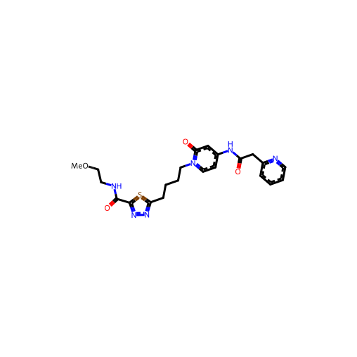 COCCNC(=O)c1nnc(CCCCn2ccc(NC(=O)Cc3ccccn3)cc2=O)s1